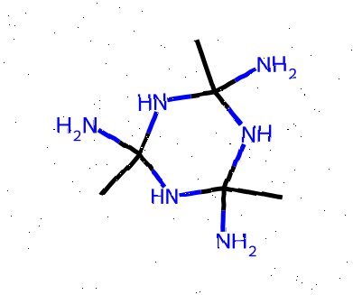 CC1(N)NC(C)(N)NC(C)(N)N1